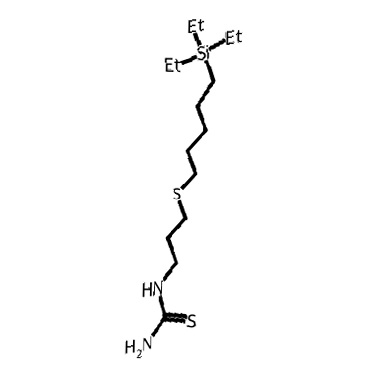 CC[Si](CC)(CC)CCCCCSCCCNC(N)=S